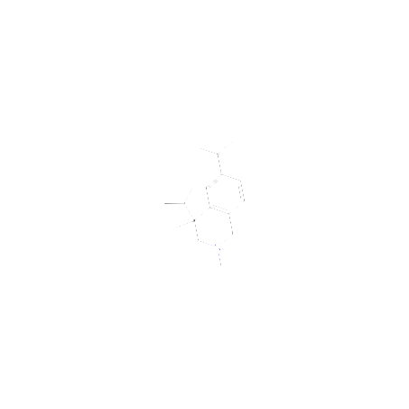 CC(C)c1ccc2c(c1)C(C)(C(C)C)CN(C)C2